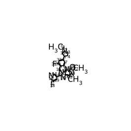 CCN1CCC(c2ccc(Cn3c(-c4cncc(F)c4)nc4c(C)nc(OC)nc43)c(F)c2)C1